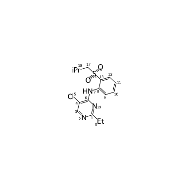 CCc1ncc(Cl)c(Nc2ccccc2S(=O)(=O)CC(C)C)n1